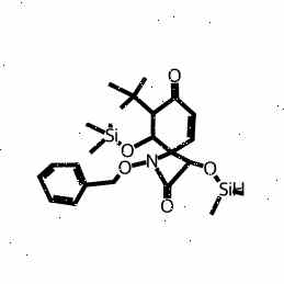 C[SiH](C)OC1C(=O)N(OCc2ccccc2)C12C=CC(=O)C(C(C)(C)C)C2O[Si](C)(C)C